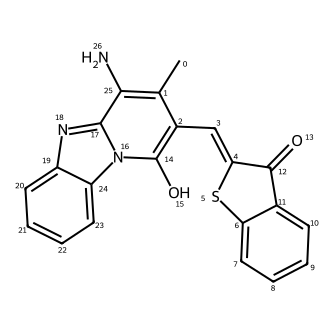 Cc1c(/C=C2\Sc3ccccc3C2=O)c(O)n2c(nc3ccccc32)c1N